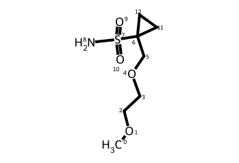 COCCOCC1(S(N)(=O)=O)CC1